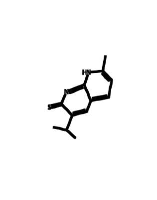 Cc1ccc2cc(C(C)C)c(=S)nc-2[nH]1